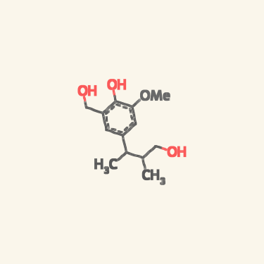 COc1cc(C(C)C(C)CO)cc(CO)c1O